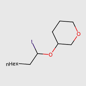 CCCCCCCC(I)OC1CCCOC1